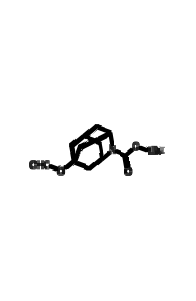 CC(C)(C)OC(=O)N1C2CC3CC1CC(OC=O)(C3)C2